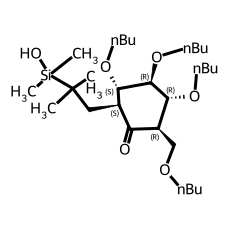 CCCCOC[C@H]1C(=O)[C@@H](CC(C)(C)[Si](C)(C)O)[C@H](OCCCC)[C@@H](OCCCC)[C@@H]1OCCCC